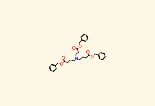 O=C(CCCN(CCCC(=O)OCc1ccccc1)CCC(=O)OCc1ccccc1)OCc1ccccc1